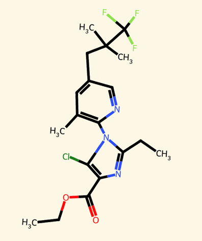 CCOC(=O)c1nc(CC)n(-c2ncc(CC(C)(C)C(F)(F)F)cc2C)c1Cl